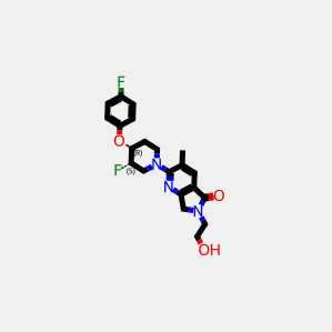 Cc1cc2c(nc1N1CC[C@@H](Oc3ccc(F)cc3)[C@@H](F)C1)CN(CCO)C2=O